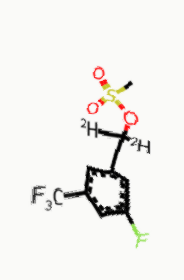 [2H]C([2H])(OS(C)(=O)=O)c1cc(F)cc(C(F)(F)F)c1